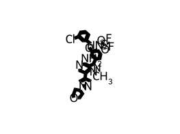 Cn1nc(-c2ccc(NS(=O)(=O)C(F)F)c(OCc3cccc(Cl)c3)c2)c2c(N)ncc(-c3cnn(C4CCOCC4)c3)c21